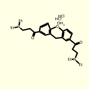 CCN(CC)CCC(=O)c1ccc2c(c1)Cc1cc(C(=O)CCN(CC)CC)ccc1O2.Cl.Cl.O